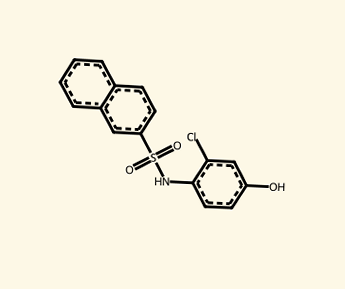 O=S(=O)(Nc1ccc(O)cc1Cl)c1ccc2ccccc2c1